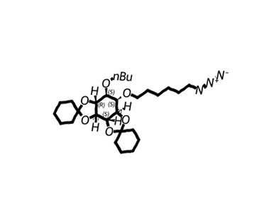 CCCCO[C@H]1[C@H](OCCCCCCN=[N+]=[N-])[C@H]2OC3(CCCCC3)O[C@@H]2[C@@H]2OC3(CCCCC3)O[C@H]12